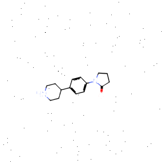 O=C1CCCN1c1ccc(C2CCNCC2)cc1